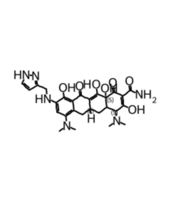 CN(C)c1cc(NCc2cc[nH]n2)c(O)c2c1C[C@H]1CC3[C@H](N(C)C)C(O)=C(C(N)=O)C(=O)[C@@]3(O)C(O)=C1C2=O